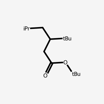 CC(C)CC(CC(=O)OC(C)(C)C)C(C)(C)C